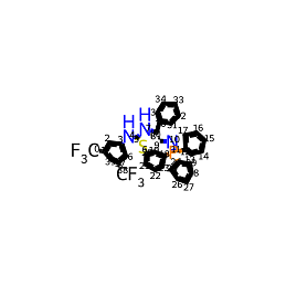 FC(F)(F)c1cc(NC(=S)N[C@@H](CN=P(c2ccccc2)(c2ccccc2)c2ccccc2)c2ccccc2)cc(C(F)(F)F)c1